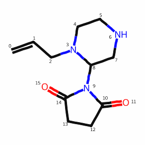 C=CCN1CCNCC1N1C(=O)CCC1=O